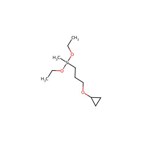 CCO[Si](C)(CCCOC1CC1)OCC